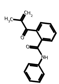 C=C(C)C(=O)c1ccccc1C(=O)Nc1ccccc1